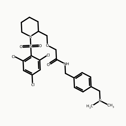 CN(C)Cc1ccc(CNC(=O)COCC2CCCCN2S(=O)(=O)c2c(Cl)cc(Cl)cc2Cl)cc1